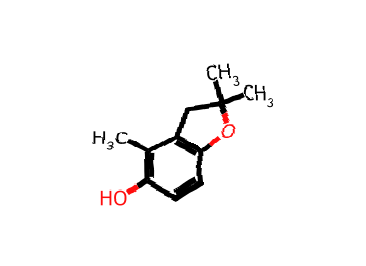 Cc1c(O)ccc2c1CC(C)(C)O2